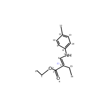 CCOC(=O)/C(=C/Nc1ccc(C)cc1)CC